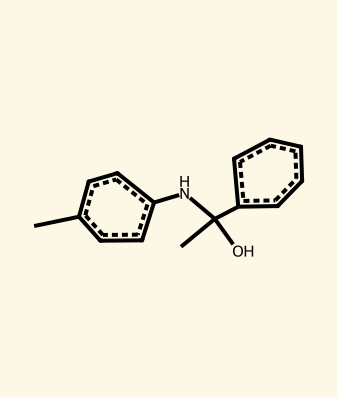 Cc1ccc(NC(C)(O)c2ccccc2)cc1